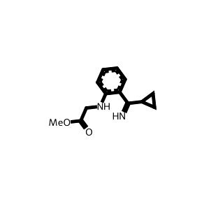 COC(=O)CNc1ccccc1C(=N)C1CC1